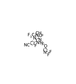 Cn1c(C(F)(F)F)nc2c(-c3ccc(C#N)cc3F)nc(N3CC(Oc4ccnc(C(F)F)c4)C3)nc2c1=O